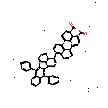 O=C1OC(=O)c2ccc3c4ccc(-c5ccc6c7c(cccc57)-c5c-6c(-c6ccccc6)c6ccccc6c5-c5ccccc5)c5cccc(c6ccc1c2c63)c54